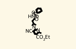 CCOC(=O)c1cc(C#N)c(N2CC(CC(=O)NS(=O)(=O)c3ccccc3)C2)nc1C